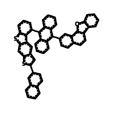 c1ccc2cc(-c3cc4cc5c(cc4s3)sc3cccc(-c4c6ccccc6c(-c6ccc7ccc8c9ccccc9oc8c7c6)c6ccccc46)c35)ccc2c1